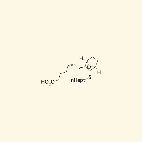 CCCCCCCS[C@@H]1[C@@H](C/C=C\CCCC(=O)O)[C@H]2CC[C@@H]1O2